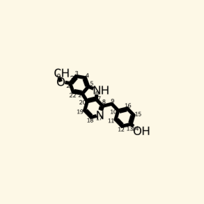 COc1ccc2[nH]c3c(Cc4ccc(O)cc4)nccc3c2c1